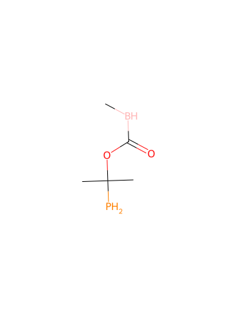 CBC(=O)OC(C)(C)P